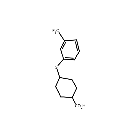 O=C(O)C1CCC(Sc2cccc(C(F)(F)F)c2)CC1